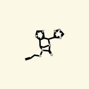 C=CCON1C(=O)N2CC1c1scnc1C2c1nnco1